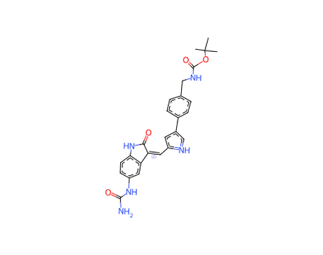 CC(C)(C)OC(=O)NCc1ccc(-c2c[nH]c(/C=C3\C(=O)Nc4ccc(NC(N)=O)cc43)c2)cc1